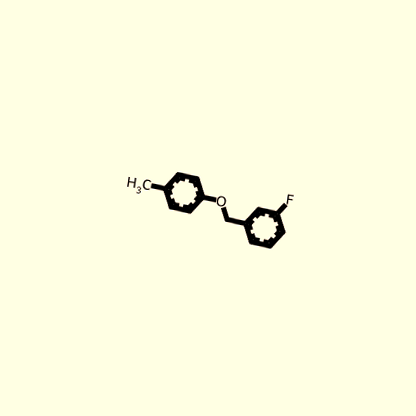 Cc1ccc(OCc2cccc(F)c2)cc1